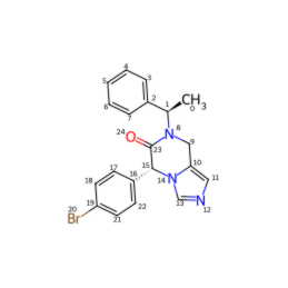 C[C@H](c1ccccc1)N1Cc2cncn2[C@H](c2ccc(Br)cc2)C1=O